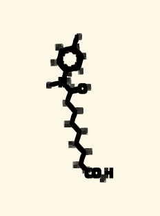 Cc1ccc(N(C)C(=O)CCCCCCCC(=O)O)cc1